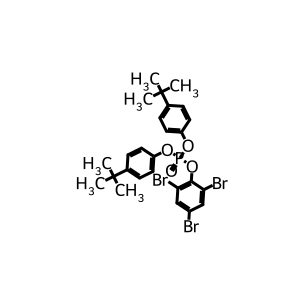 CC(C)(C)c1ccc(OP(=O)(Oc2ccc(C(C)(C)C)cc2)Oc2c(Br)cc(Br)cc2Br)cc1